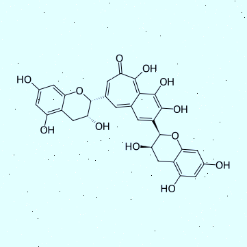 O=c1cc([C@H]2Oc3cc(O)cc(O)c3C[C@H]2O)cc2cc([C@H]3Oc4cc(O)cc(O)c4C[C@H]3O)c(O)c(O)c2c1O